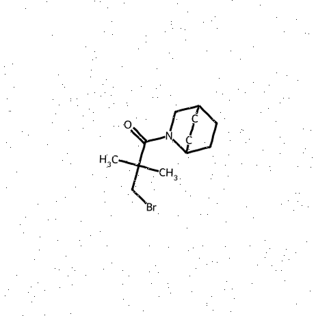 CC(C)(CBr)C(=O)N1CC2CCC1CC2